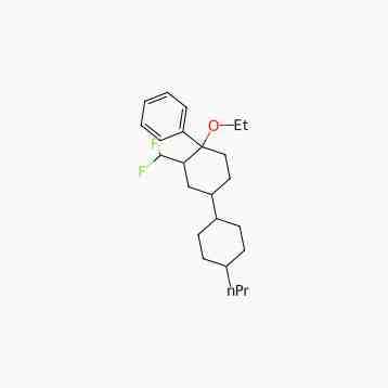 CCCC1CCC(C2CCC(OCC)(c3ccccc3)C(C(F)F)C2)CC1